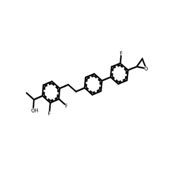 CC(O)c1ccc(CCc2ccc(-c3ccc(C4CO4)c(F)c3)cc2)c(F)c1F